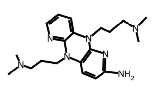 CN(C)CCCN1c2ccc(N)nc2N(CCCN(C)C)c2cccnc21